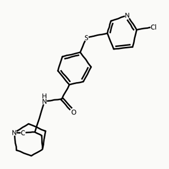 O=C(NC1CC2CCN(CC2)C1)c1ccc(Sc2ccc(Cl)nc2)cc1